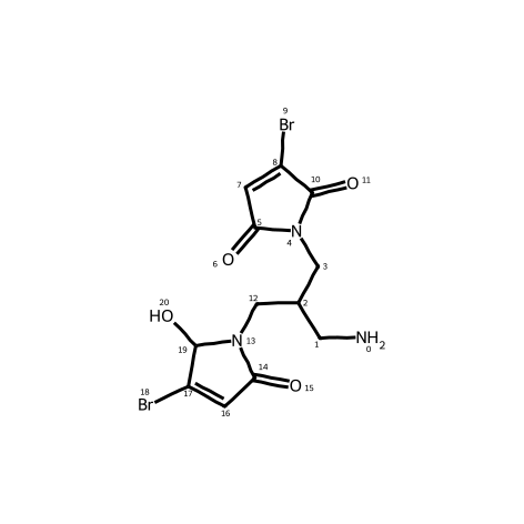 NCC(CN1C(=O)C=C(Br)C1=O)CN1C(=O)C=C(Br)C1O